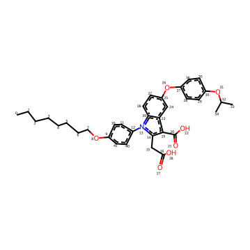 CCCCCCCCOc1ccc(-n2c(CC(=O)O)c(C(=O)O)c3cc(Oc4ccc(OC(C)C)cc4)ccc32)cc1